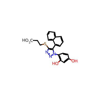 O=C(O)CCSc1nnn(-c2ccc(O)cc2O)c1-c1cccc2ccccc12